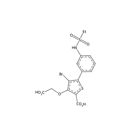 CCS(=O)(=O)Nc1cccc(-c2sc(C(=O)O)c(OCC(=O)O)c2Br)c1